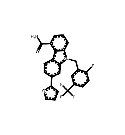 NC(=O)c1cccc2c1c1[c]cc(-c3ccco3)cc1n2Cc1cc(C(F)(F)F)ccc1F